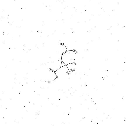 CC(C)=CC1C(C(=O)OC#N)C1(C)C.O